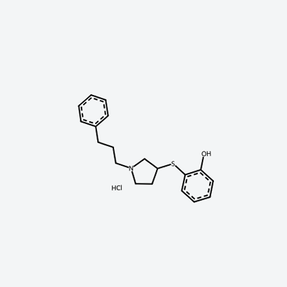 Cl.Oc1ccccc1SC1CCN(CCCc2ccccc2)C1